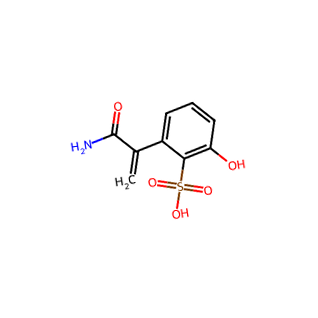 C=C(C(N)=O)c1cccc(O)c1S(=O)(=O)O